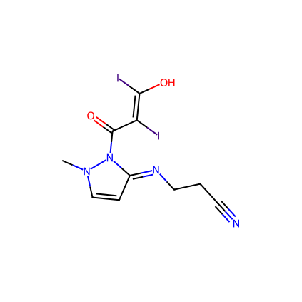 Cn1cc/c(=N\CCC#N)n1C(=O)/C(I)=C(/O)I